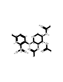 CC(=O)O[C@@H]1[C@@H](OC(C)=O)[C@@H](Oc2ccc(C)nc2[N+](=O)[O-])SC[C@H]1OC(C)=O